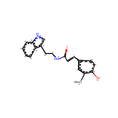 COc1cc(/C=C/C(=O)NCCc2c[nH]c3ccccc23)ccc1O